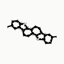 Cc1ccc2oc3c(ccc4c3ccc3c5cc(C)ccc5sc34)c2c1